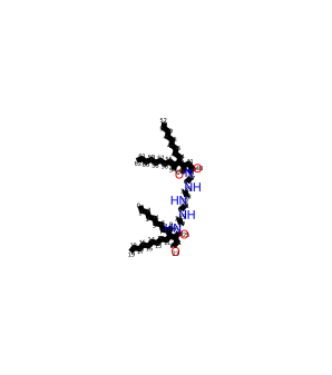 CCCCCCC/C=C(\C)C(CCCCCCCCC)C(CC=O)C(=O)NCCNCCNCCNCCN1C(=O)CC(C(CCCCCCCCC)/C(C)=C/CCCCCCC)C1=O